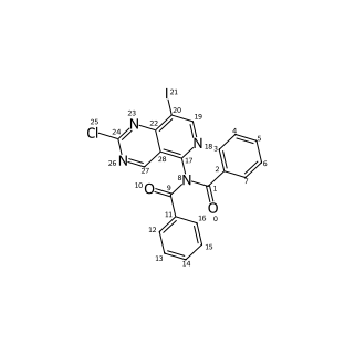 O=C(c1ccccc1)N(C(=O)c1ccccc1)c1ncc(I)c2nc(Cl)ncc12